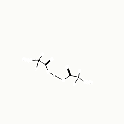 CCOC(=O)C(F)(F)C(=O)O[IH]OC(=O)C(F)(F)C(=O)OCC